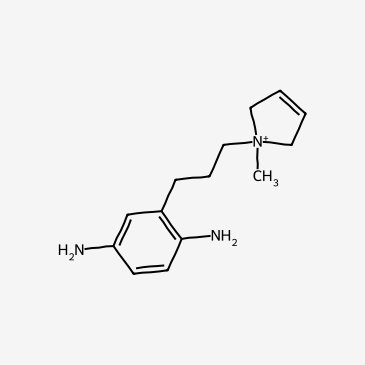 C[N+]1(CCCc2cc(N)ccc2N)CC=CC1